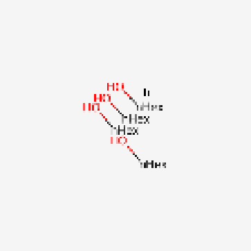 CCCCCCO.CCCCCCO.CCCCCCO.CCCCCCO.[Ti]